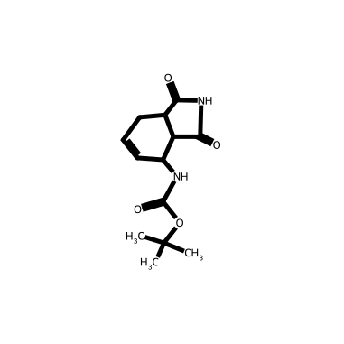 CC(C)(C)OC(=O)NC1C=CCC2C(=O)NC(=O)C12